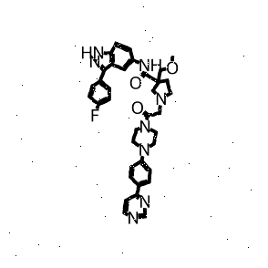 COCC1(C(=O)Nc2ccc3[nH]nc(-c4ccc(F)cc4)c3c2)CCN(CC(=O)N2CCN(c3ccc(-c4ccncn4)cc3)CC2)C1